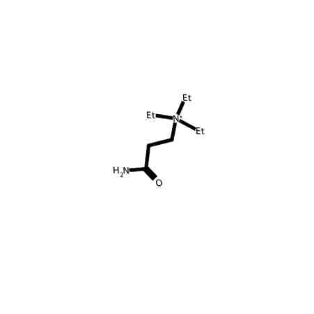 CC[N+](CC)(CC)CCC(N)=O